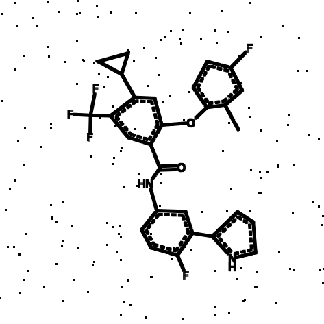 Cc1cc(F)ccc1Oc1cc(C2CC2)c(C(F)(F)F)cc1C(=O)Nc1ccc(F)c(-c2ccc[nH]2)c1